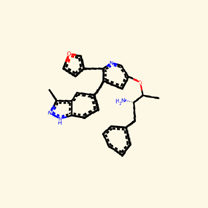 Cc1n[nH]c2ccc(-c3cc(OC(C)[C@@H](N)Cc4ccccc4)cnc3-c3ccoc3)cc12